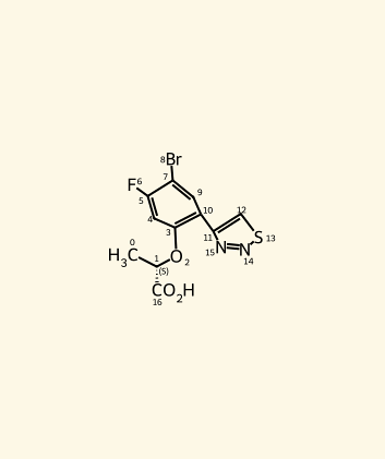 C[C@H](Oc1cc(F)c(Br)cc1-c1csnn1)C(=O)O